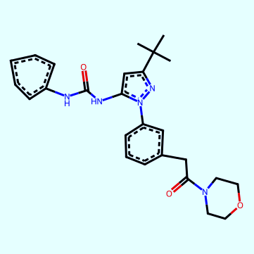 CC(C)(C)c1cc(NC(=O)Nc2ccccc2)n(-c2cccc(CC(=O)N3CCOCC3)c2)n1